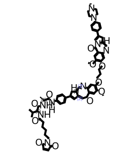 COc1cc2c(cc1OCCCOc1cc3c(cc1OC)C(=O)/C=C1/C=C(c4ccc(NC(=O)[C@H](C)NC(=O)[C@@H](NC(=O)CCCCCN5C(=O)C=CC5=O)C(C)C)cc4)C[C@H]1/C=N\3)N=C[C@@H]1CC(c3ccc(N4CCN(C)CC4)cc3)=CN1C2=O